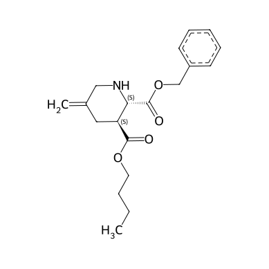 C=C1CN[C@H](C(=O)OCc2ccccc2)[C@@H](C(=O)OCCCC)C1